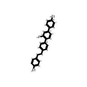 CCc1ccc(CCc2ccc(-c3ccc(-c4ccc(CC)cc4)cc3F)cc2)cc1